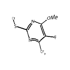 CCSc1nc(OC)c(F)c(C(F)(F)F)n1